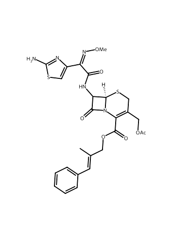 CO/N=C(\C(=O)NC1C(=O)N2C(C(=O)OC/C(C)=C/c3ccccc3)=C(COC(C)=O)CS[C@H]12)c1csc(N)n1